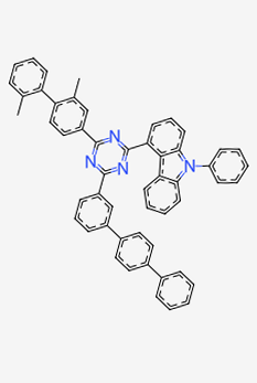 Cc1ccccc1-c1ccc(-c2nc(-c3cccc(-c4ccc(-c5ccccc5)cc4)c3)nc(-c3cccc4c3c3ccccc3n4-c3ccccc3)n2)cc1C